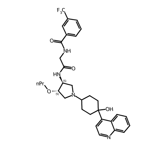 CCCO[C@H]1CN(C2CCC(O)(c3ccnc4ccccc34)CC2)C[C@@H]1NC(=O)CNC(=O)c1cccc(C(F)(F)F)c1